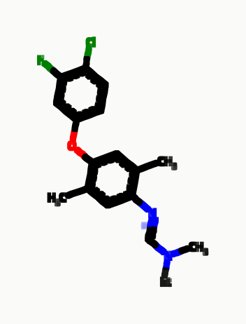 CCN(C)/C=N/c1cc(C)c(Oc2ccc(Cl)c(F)c2)cc1C